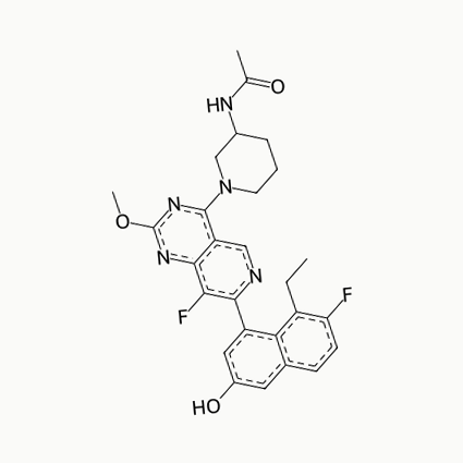 CCc1c(F)ccc2cc(O)cc(-c3ncc4c(N5CCCC(NC(C)=O)C5)nc(OC)nc4c3F)c12